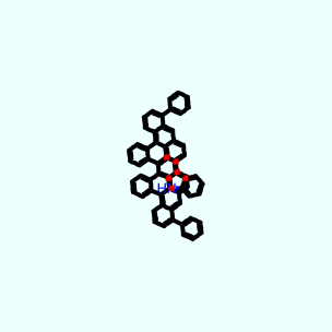 c1ccc(-c2cccc3c(-c4ccccc4-c4ccc5c([nH]c6ccccc65)c4-c4ccccc4-c4c5ccccc5cc5c(-c6ccccc6)cccc45)c4ccccc4cc23)cc1